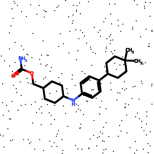 CC1(C)CCC(c2ccc(NC3CCC(COC(N)=O)CC3)cc2)CC1